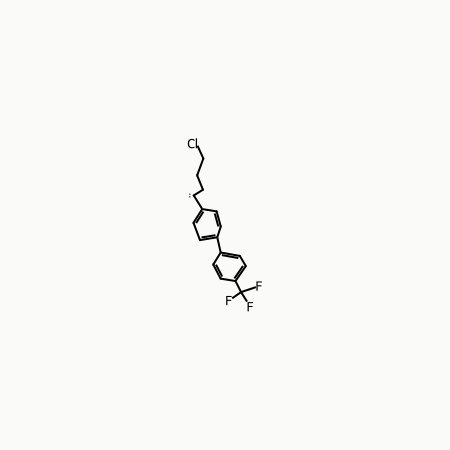 FC(F)(F)c1ccc(-c2ccc([C]CCCCl)cc2)cc1